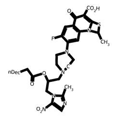 CCCCCCCCCCCC(=O)OC(CN1CCN(c2cc3c(cc2F)c(=O)c(C(=O)O)c2n3C(C)S2)CC1)Cn1c([N+](=O)[O-])cnc1C